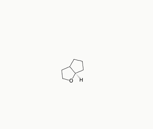 C1CC2CCO[C@@H]2C1